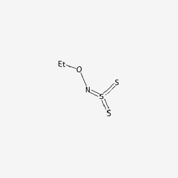 CCON=S(=S)=S